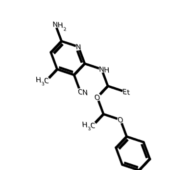 CCC(Nc1nc(N)cc(C)c1C#N)OC(C)Oc1ccccc1